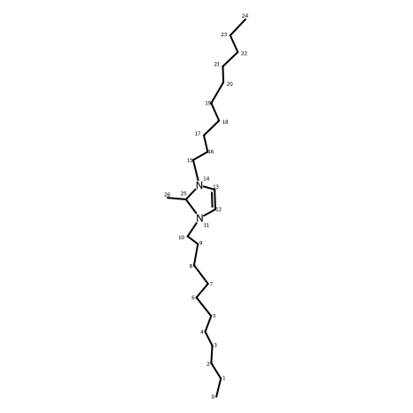 CCCCCCCCCCCN1C=CN(CCCCCCCCCC)C1C